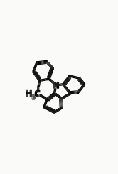 Cc1cccc2c3ccccc3n(-c3ccccc3I)c12